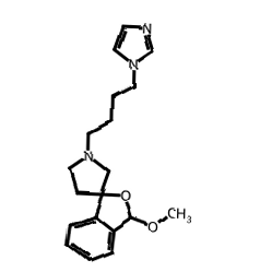 COC1OC2(CCN(CCCCn3ccnc3)C2)c2ccccc21